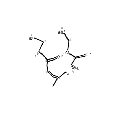 CCC(C)COC(=O)C(C)CC.CCC(C)COC(=O)C=C(C)C